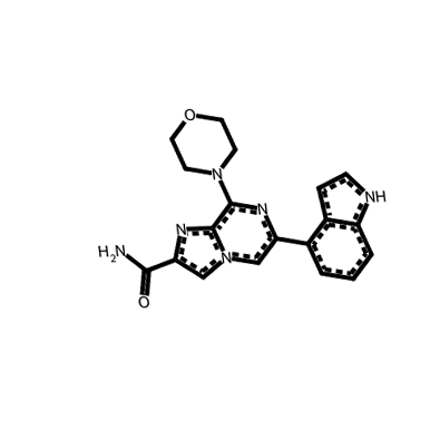 NC(=O)c1cn2cc(-c3cccc4[nH]ccc34)nc(N3CCOCC3)c2n1